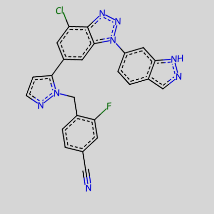 N#Cc1ccc(Cn2nccc2-c2cc(Cl)c3nnn(-c4ccc5cn[nH]c5c4)c3c2)c(F)c1